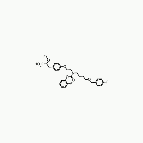 CCOC(Cc1ccc(OCCN(CCCCOCc2ccc(F)cc2)C(=O)Oc2ccccc2F)cc1)C(=O)O